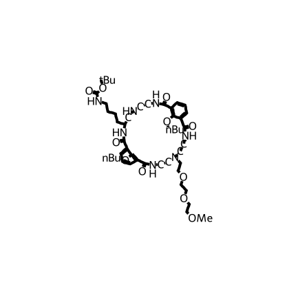 CCCCOc1c2cccc1C(=O)NCCN(CCOCCOCCOC)CCNC(=O)c1cccc(c1OCCCC)C(=O)NC(CCCCNC(=O)OC(C)(C)C)CNCCNC2=O